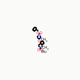 Cc1ccc2c(c1OC1CCN(C(=O)OCc3ccccc3)CC1)CCN(C(=O)OC(C)(C)C)C2C